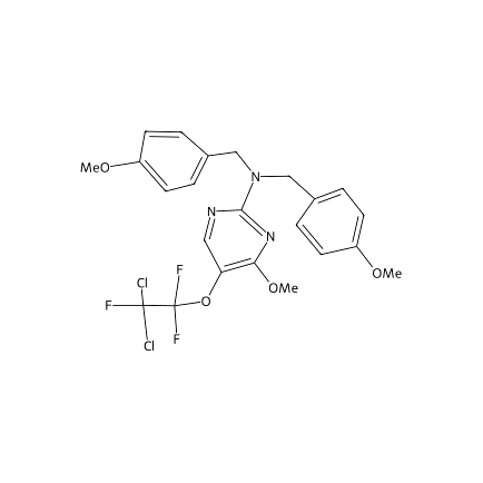 COc1ccc(CN(Cc2ccc(OC)cc2)c2ncc(OC(F)(F)C(F)(Cl)Cl)c(OC)n2)cc1